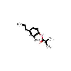 C=CCc1ccc(OC(=O)C(=C)C)c(OC)c1